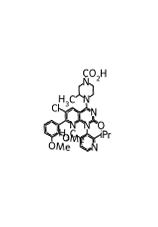 COc1cccc(-c2nc3c(cc2Cl)c(N2CCN(C(=O)O)CC2C)nc(=O)n3-c2c(C)ccnc2C(C)C)c1OC